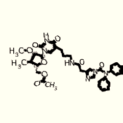 CO[C@@H]1C(C)[C@@H](COC(C)=O)O[C@H]1n1cc(CCCNC(=O)Cc2cn(C(=O)N(c3ccccc3)c3ccccc3)cn2)c(=O)[nH]c1=O